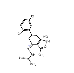 Cc1n[nH]c2c1/C(=N\NC(=N)N)CC(c1cc(Cl)ccc1Cl)C2.Cl